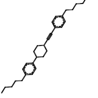 CCCCCCc1ccc(C#CC2CCC(c3ccc(CCCCC)cc3)CC2)cc1